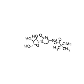 COC(C)(C)C(=O)ONc1ccn([C@@H]2O[C@H](CO)[C@@H](O)[C@H]2O)c(=O)n1